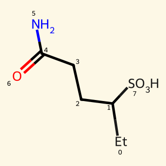 CCC(CCC(N)=O)S(=O)(=O)O